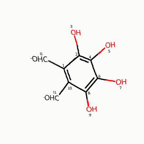 O=[C]c1c(O)c(O)c(O)c(O)c1[C]=O